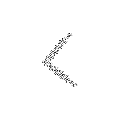 [O-][Si]([O-])([O-])[O-].[O-][Si]([O-])([O-])[O-].[O-][Si]([O-])([O-])[O-].[O-][Si]([O-])([O-])[O-].[O-][Si]([O-])([O-])[O-].[O-][Si]([O-])([O-])[O-].[O-][Si]([O-])([O-])[O-].[O-][Si]([O-])([O-])[O-].[O-][Si]([O-])([O-])[O-].[V+5].[V+5].[V+5].[V+5].[Zr+4].[Zr+4].[Zr+4].[Zr+4]